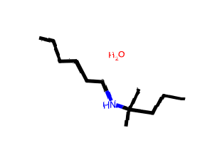 CCCCCCNC(C)(C)CCC.O